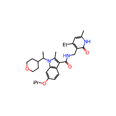 CCc1cc(C)[nH]c(=O)c1CNC(=O)c1c(C)n(C(C)C2CCOCC2)c2cc(OC(C)C)ccc12